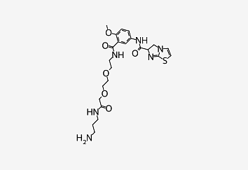 COc1ccc(NC(=O)C2CN3C=CSC3=N2)cc1C(=O)NCCOCCOCC(=O)NCCCN